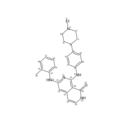 CCN1CCC(c2ccc(Nc3nc(Nc4ccccc4C)cc4cc[nH]c(=O)c34)cc2)CC1